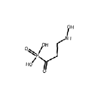 O=C(CCNO)P(=O)(O)O